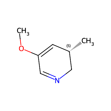 COC1=C[C@H](C)CN=C1